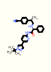 C[C@@H](CN[C@H](C(=O)Nc1ccc(-c2cnn(C(C)(C)C)c2)cn1)c1ccccc1)c1ccc(C#N)cc1